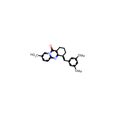 COc1cc(C=C2CCCc3c2nc2ccc(C(=O)O)cn2c3=O)cc(OC)c1